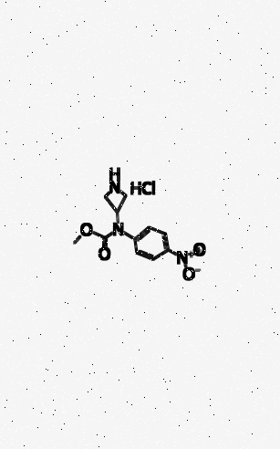 COC(=O)N(c1ccc([N+](=O)[O-])cc1)C1CNC1.Cl